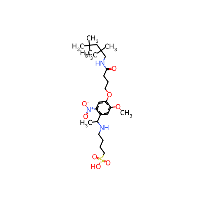 COc1cc(C(C)NCCCCS(=O)(=O)O)c([N+](=O)[O-])cc1OCCCC(=O)NCC(C)(C)CC(C)(C)C